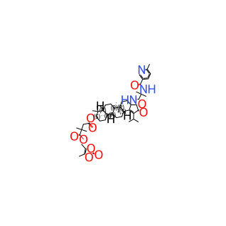 Cc1ccc(C(=O)NC(C)(C)C(=O)NC23CC[C@]4(C)[C@H](CC[C@@H]5[C@@]6(C)CC[C@H](OC(=O)CC(C)(C)C(=O)OCc7oc(=O)oc7C)C(C)(C)[C@@H]6CC[C@]54C)C2=C(C(C)C)C(=O)C3)cn1